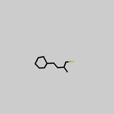 CC(CS)CCC1CCCCC1